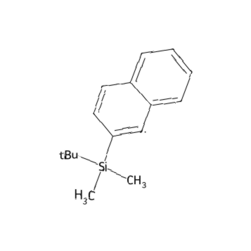 CC(C)(C)[Si](C)(C)c1[c]c2ccccc2cc1